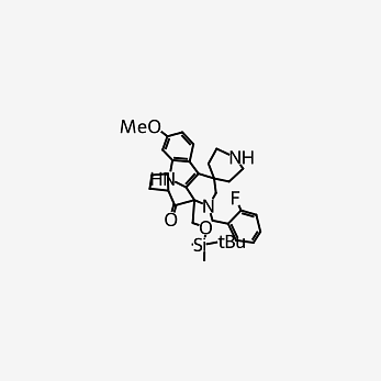 COc1ccc2c3c([nH]c2c1)C(CO[Si](C)(C)C(C)(C)C)(C(=O)C1CCC1)N(Cc1ccccc1F)CC31CCNCC1